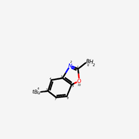 Bc1nc2cc(C(C)(C)C)ccc2o1